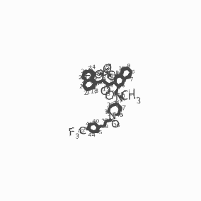 CN(C(=O)c1cc2ccccc2cc1C(=O)C(c1cccc2ccccc12)P(=O)(O)O)C1CCN(C(=O)CCc2ccc(C(F)(F)F)cc2)CC1